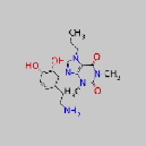 CCCn1cnc2c1c(=O)n(C)c(=O)n2C.NCCc1ccc(O)c(O)c1